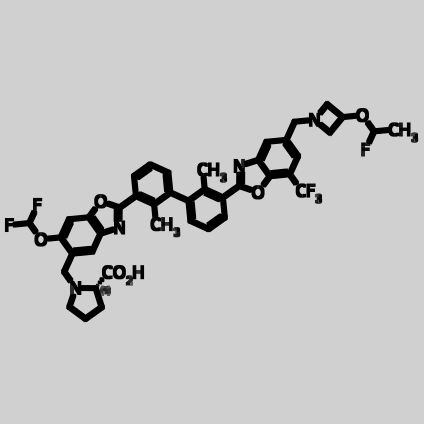 Cc1c(-c2nc3cc(CN4CCC[C@H]4C(=O)O)c(OC(F)F)cc3o2)cccc1-c1cccc(-c2nc3cc(CN4CC(OC(C)F)C4)cc(C(F)(F)F)c3o2)c1C